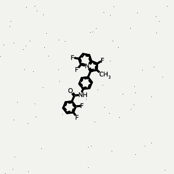 Cc1c(F)c2ccc(F)c(F)n2c1-c1ccc(NC(=O)c2cccc(F)c2F)cc1